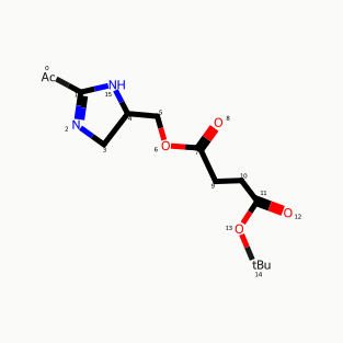 CC(=O)C1=NCC(COC(=O)CCC(=O)OC(C)(C)C)N1